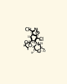 C[C@@H]1CN(c2c(C3OCCO3)cc3c(Cl)noc3c2Cl)C[C@@H](C)O1